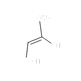 CO/C(C)=C/C(=O)O